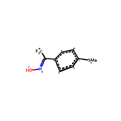 CSc1ccc(/C(=N/O)C(F)(F)F)cc1